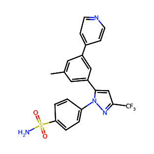 Cc1cc(-c2ccncc2)cc(-c2cc(C(F)(F)F)nn2-c2ccc(S(N)(=O)=O)cc2)c1